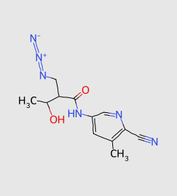 Cc1cc(NC(=O)C(CN=[N+]=[N-])C(C)O)cnc1C#N